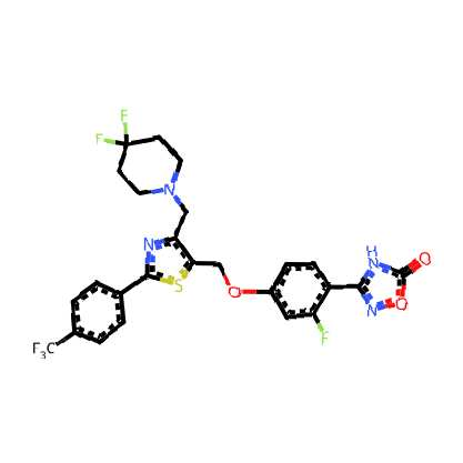 O=c1[nH]c(-c2ccc(OCc3sc(-c4ccc(C(F)(F)F)cc4)nc3CN3CCC(F)(F)CC3)cc2F)no1